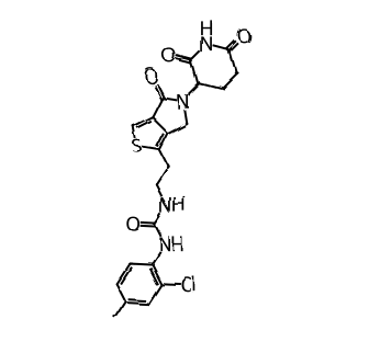 Cc1ccc(NC(=O)NCCc2scc3c2CN(C2CCC(=O)NC2=O)C3=O)c(Cl)c1